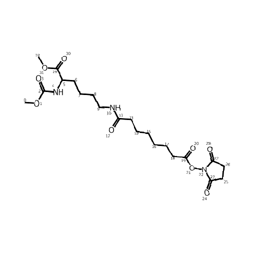 COC(=O)NC(CCCCNC(=O)CCCCCCC(=O)ON1C(=O)CCC1=O)C(=O)OC